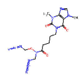 Cn1cnc2c1c(=O)n(CCCCC(=O)N(CN=[N+]=[N-])OCN=[N+]=[N-])c(=O)n2C